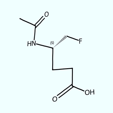 CC(=O)N[C@H](CF)CCC(=O)O